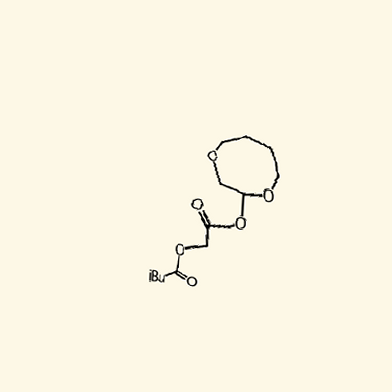 CCC(C)C(=O)OCC(=O)OC1COCCCCO1